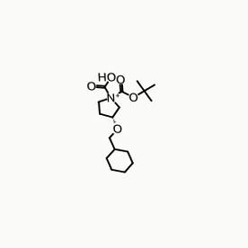 CC(C)(C)OC(=O)[N+]1(C(=O)O)CC[C@@H](OCC2CCCCC2)C1